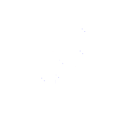 CN(CCN1CCCCC1)C(=O)Cn1c(=O)cc(Nc2ccc3c(c2)CCC3)[nH]c1=O